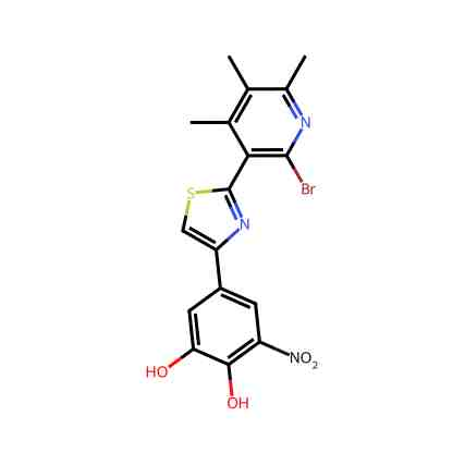 Cc1nc(Br)c(-c2nc(-c3cc(O)c(O)c([N+](=O)[O-])c3)cs2)c(C)c1C